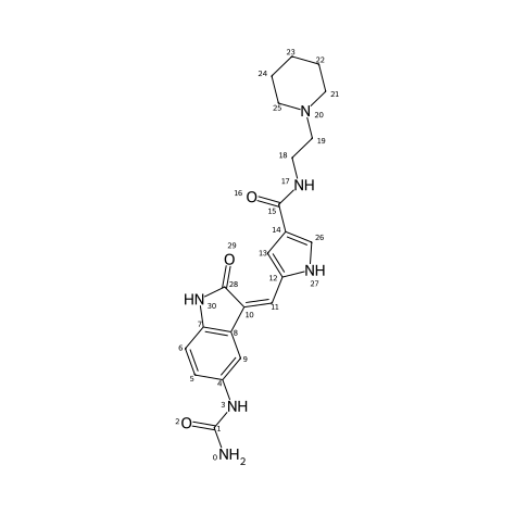 NC(=O)Nc1ccc2c(c1)C(=Cc1cc(C(=O)NCCN3CCCCC3)c[nH]1)C(=O)N2